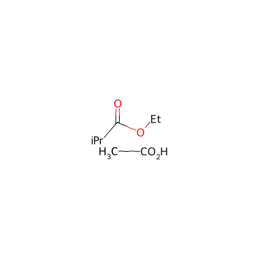 CC(=O)O.CCOC(=O)C(C)C